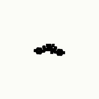 Cc1ccc(CC(=O)NCC(NC(=O)Cc2ccc(C)cc2)C(=O)O)cc1